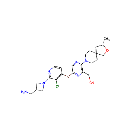 C[C@H]1CC2(CCN(c3ncc(Sc4ccnc(N5CC(CN)C5)c4Cl)nc3CO)CC2)CO1